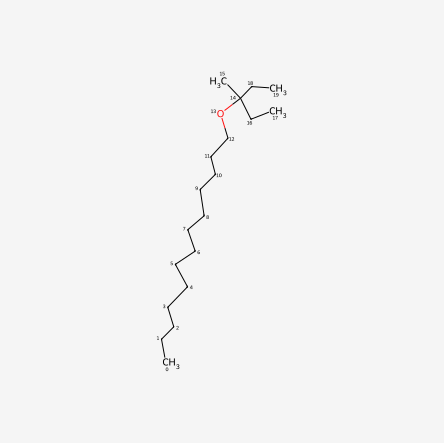 CCCCCCCCCCCCCOC(C)(CC)CC